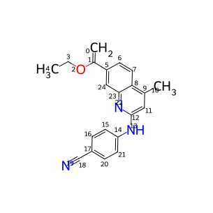 C=C(OCC)c1ccc2c(C)cc(Nc3ccc(C#N)cc3)nc2c1